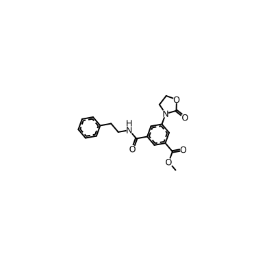 COC(=O)c1cc(C(=O)NCCc2ccccc2)cc(N2CCOC2=O)c1